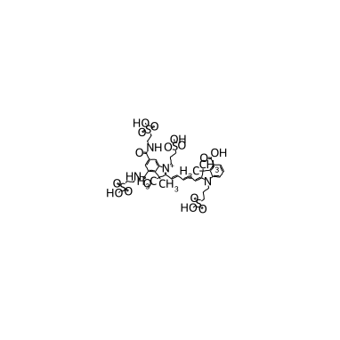 CC1(C)C(/C=C/C=C/C=C2/N(CCCS(=O)(=O)O)c3cccc(C(=O)O)c3C2(C)C)=[N+](CCCS(=O)(=O)O)c2cc(C(=O)NCCS(=O)(=O)O)cc(C(=O)NCCS(=O)(=O)O)c21